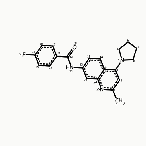 Cc1cc(N2CCCC2)c2ccc(NC(=O)c3ccc(F)cc3)cc2n1